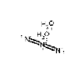 O.O.[N-]=[N+]=[N-]